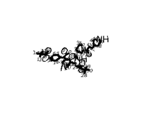 CC(=O)C(c1ccc(OC(=O)C(C)(C)C)cc1)c1cncc([C@H](CC(=O)OC(C)(C)C)NC(=O)[C@@H]2CCCN(C(=O)CCC3CCNCC3)C2)c1